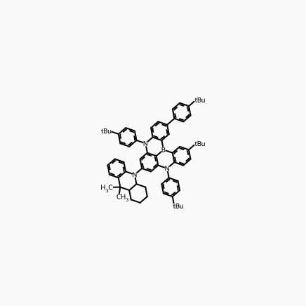 CC(C)(C)c1ccc(-c2ccc3c(c2)B2c4cc(C(C)(C)C)ccc4N(c4ccc(C(C)(C)C)cc4)c4cc(N5c6ccccc6C(C)(C)C6CCCCC65)cc(c42)N3c2ccc(C(C)(C)C)cc2)cc1